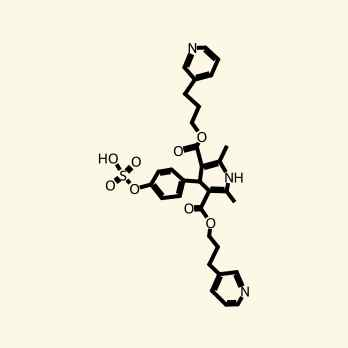 CC1=C(C(=O)OCCCc2cccnc2)C(c2ccc(OS(=O)(=O)O)cc2)C(C(=O)OCCCc2cccnc2)=C(C)N1